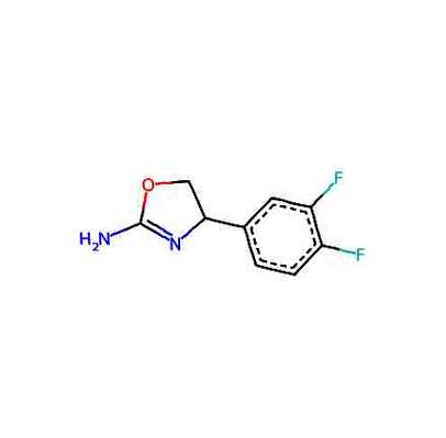 NC1=NC(c2ccc(F)c(F)c2)CO1